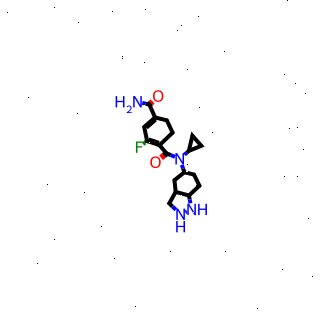 NC(=O)C1=CC(F)=C(C(=O)N(C2CC2)C2CCC3NNCC3C2)CC1